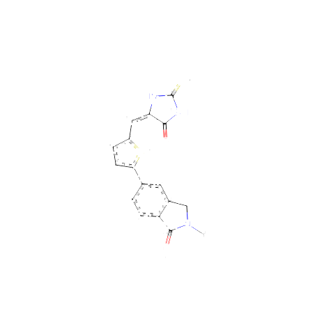 CC(C)N1Cc2cc(-c3ccc(C=C4NC(=S)NC4=O)s3)ccc2C1=O